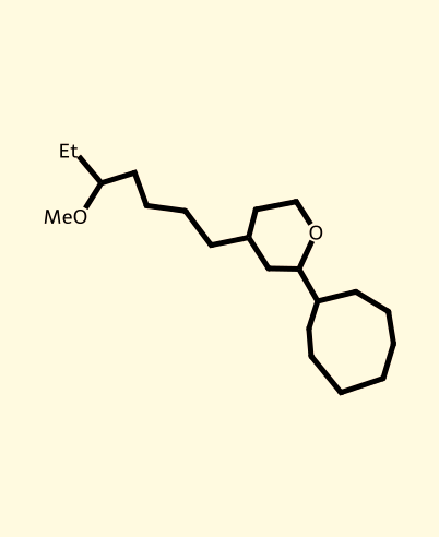 CCC(CCCCC1CCOC(C2CCCCCCC2)C1)OC